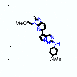 CN[C@H]1CC[C@@H](Nc2ncc3c(-c4ccc5nc(C)n(CCOC)c5n4)ccn3n2)CC1